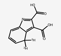 [2H]C1([2H])C=CC=C2N=C(C(=O)O)C(C(=O)O)=C21